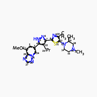 COc1cc(-c2[nH]nc(-c3nc(C)c(N4CCN(C)CC4C)s3)c2C(C)C)cn2ncnc12